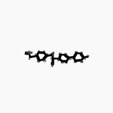 CC[C@H](C)Cc1ccc(OC(=O)c2ccc(-c3ccc(C)cc3)cc2)cc1